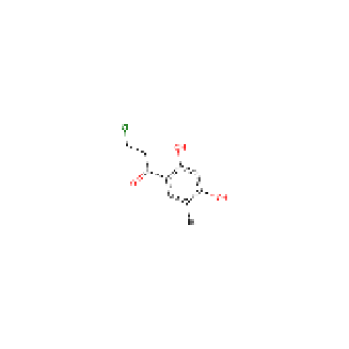 CCc1cc(C(=O)CCCl)c(O)cc1O